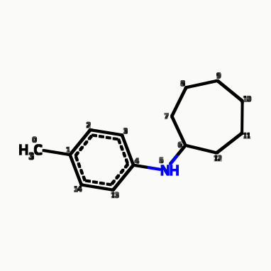 Cc1ccc(NC2CCCCCC2)cc1